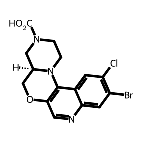 O=C(O)N1CCN2c3c(cnc4cc(Br)c(Cl)cc34)OC[C@H]2C1